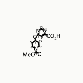 COC(=O)N1CCC(Oc2cc(C(=O)O)ncn2)CC1